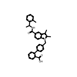 Cc1ccccc1C(C)NC(=O)c1ccc2c(c1)c(C)c(C)n2Cc1ccc(-c2ccccc2C(=O)O)cc1